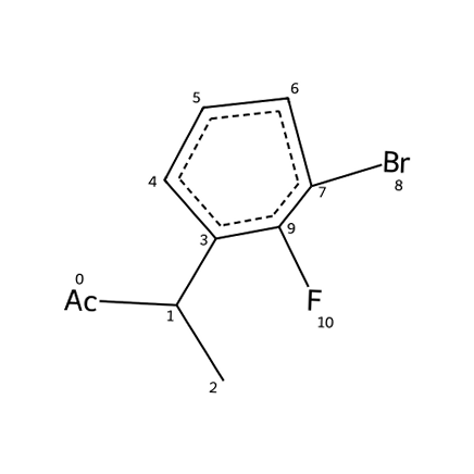 CC(=O)C(C)c1cccc(Br)c1F